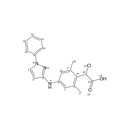 Cc1cc(Nc2ccn(-c3ccccc3)n2)cc(C)c1C(Cl)C(=O)O